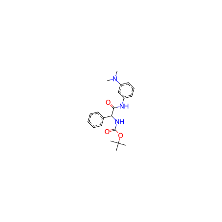 CN(C)c1cccc(NC(=O)C(NC(=O)OC(C)(C)C)c2ccccc2)c1